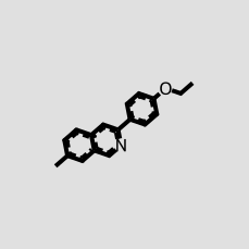 CCOc1ccc(-c2cc3ccc(C)cc3cn2)cc1